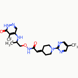 CC(CONC(=O)C=C1CCN(c2ncc(C(F)(F)F)cn2)CC1)Nc1cn[nH]c(=O)c1C(F)(F)F